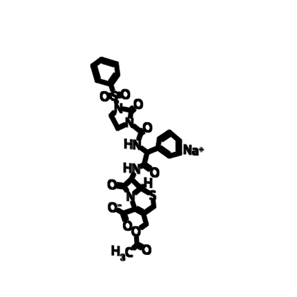 CC(=O)OCC1=C(C(=O)[O-])N2C(=O)C(NC(=O)C(NC(=O)N3CCN(S(=O)(=O)c4ccccc4)C3=O)c3ccccc3)[C@@H]2SC1.[Na+]